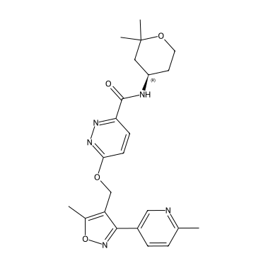 Cc1ccc(-c2noc(C)c2COc2ccc(C(=O)N[C@@H]3CCOC(C)(C)C3)nn2)cn1